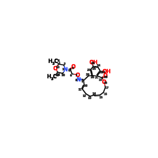 CC1CN(C(=O)CON=C2/C=C/CC/C=C/CCOC(=O)c3c(O)cc(O)cc3C2)CC(C)O1